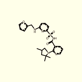 CC1CN(c2ncccc2C(=O)NS(=O)(=O)c2cccc(NCc3ccco3)n2)C(C)(C)C1